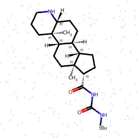 CC(C)(C)NC(=O)NC(=O)[C@H]1CC[C@H]2[C@@H]3CC[C@H]4NCCC[C@]4(C)[C@H]3CC[C@]12C